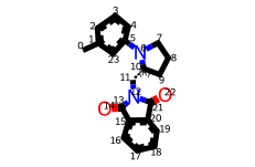 Cc1cccc(N2CCC[C@@H]2CN2C(=O)c3ccccc3C2=O)c1